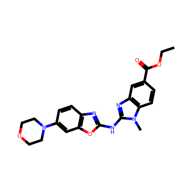 CCOC(=O)c1ccc2c(c1)nc(Nc1nc3ccc(N4CCOCC4)cc3o1)n2C